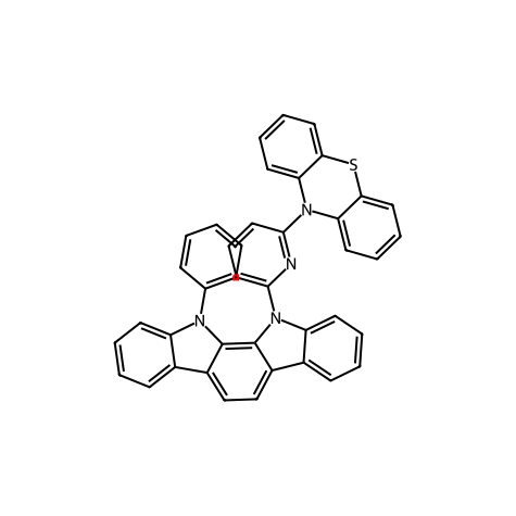 c1ccc(-n2c3ccccc3c3ccc4c5ccccc5n(-c5cccc(N6c7ccccc7Sc7ccccc76)n5)c4c32)cc1